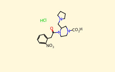 Cl.O=C(O)N1CCN(C(=O)Cc2ccccc2[N+](=O)[O-])C(CN2CCCC2)C1